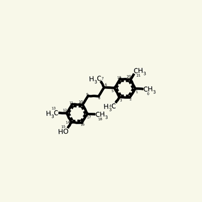 Cc1cc(C)c(C(C)CCc2cc(C)c(O)cc2C)cc1C